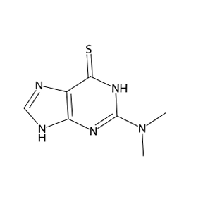 CN(C)c1nc2[nH]cnc2c(=S)[nH]1